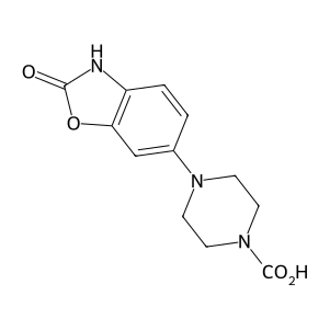 O=C(O)N1CCN(c2ccc3[nH]c(=O)oc3c2)CC1